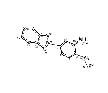 CCCNc1ccc(-c2nc3ccccc3o2)cc1N